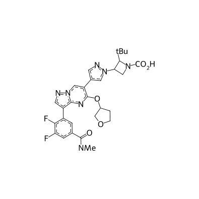 CNC(=O)c1cc(F)c(F)c(-c2cnn3cc(-c4cnn(C5CN(C(=O)O)C5C(C)(C)C)c4)c(OC4CCOC4)nc23)c1